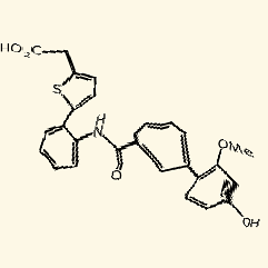 COc1cc(O)ccc1-c1cccc(C(=O)Nc2ccccc2-c2ccc(CC(=O)O)s2)c1